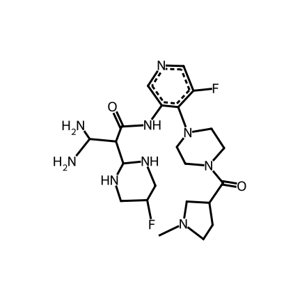 CN1CCC(C(=O)N2CCN(c3c(F)cncc3NC(=O)C(C(N)N)C3NCC(F)CN3)CC2)C1